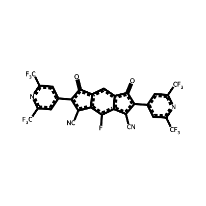 N#Cc1c(-c2cc(C(F)(F)F)nc(C(F)(F)F)c2)c(=O)c2cc3c(=O)c(-c4cc(C(F)(F)F)nc(C(F)(F)F)c4)c(C#N)c3c(F)c12